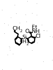 C=CCc1ccccc1[SiH2]c1cccc(Cl)c1C(=O)NCC